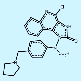 O=C(O)N(c1ccc(CN2CCCC2)cc1)n1c(=O)[nH]c2c(Cl)nc3ccccc3c21